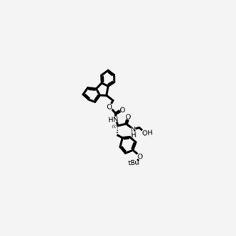 CC(C)(C)Oc1ccc(C[C@H](NC(=O)OCC2c3ccccc3-c3ccccc32)C(=O)NCO)cc1